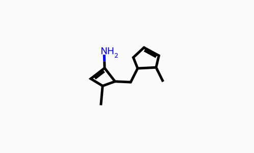 CC1C=CCC1CC1C(N)=CC1C